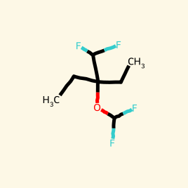 CCC(CC)(OC(F)F)C(F)F